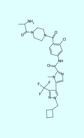 CC(N)C(=O)N1CCN(C(=O)c2ccc(NC(=O)c3ncc(-c4cn(CC5CCC5)nc4C(F)(F)F)n3C)cc2Cl)CC1